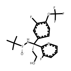 CC(C)(C)[S@@+]([O-])N[C@@](CCO)(c1ccc(OC(F)(F)F)c(F)c1)c1ncccc1F